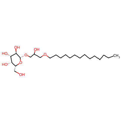 CCCCCCCCCCCCCCOCC(O)CO[C@@H]1O[C@H](CO)[C@H](O)[C@H](O)[C@H]1O